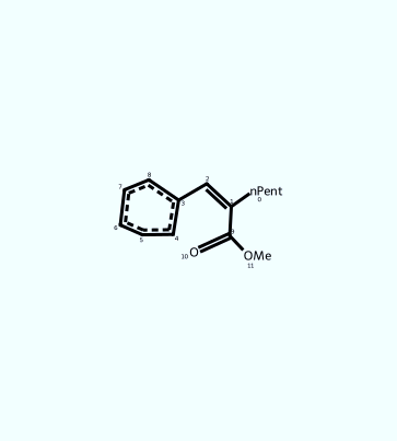 CCCCCC(=Cc1ccccc1)C(=O)OC